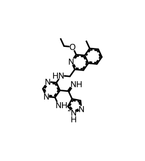 CCOc1nc(CNc2ncnc(N)c2C(=N)c2cn[nH]c2)cc2cccc(C)c12